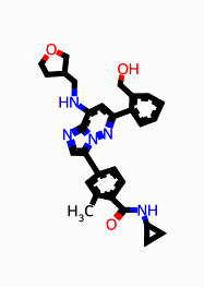 Cc1cc(-c2cnc3c(NCC4CCOC4)cc(-c4ccccc4CO)nn23)ccc1C(=O)NC1CC1